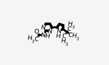 CC(=O)Nc1nccc(-c2ccc(C(C)(C)C)[nH]2)n1